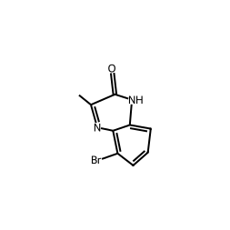 Cc1nc2c(Br)cccc2[nH]c1=O